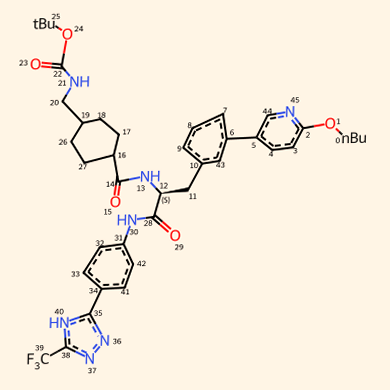 CCCCOc1ccc(-c2cccc(C[C@H](NC(=O)C3CCC(CNC(=O)OC(C)(C)C)CC3)C(=O)Nc3ccc(-c4nnc(C(F)(F)F)[nH]4)cc3)c2)cn1